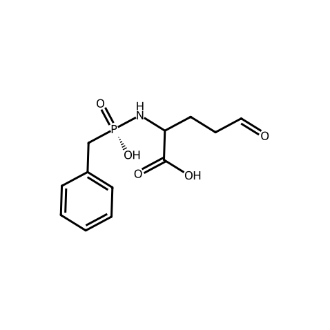 O=CCCC(N[P@@](=O)(O)Cc1ccccc1)C(=O)O